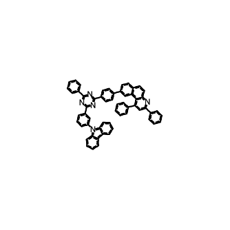 c1ccc(-c2cc(-c3ccccc3)c3c(ccc4ccc(-c5ccc(-c6nc(-c7ccccc7)nc(-c7cccc(-n8c9ccccc9c9ccccc98)c7)n6)cc5)cc43)n2)cc1